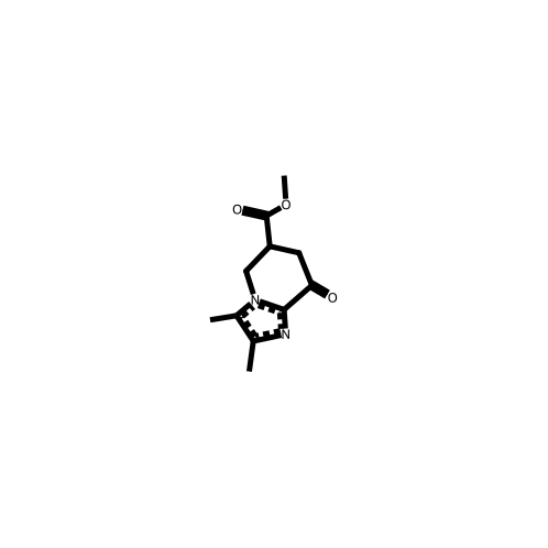 COC(=O)C1CC(=O)c2nc(C)c(C)n2C1